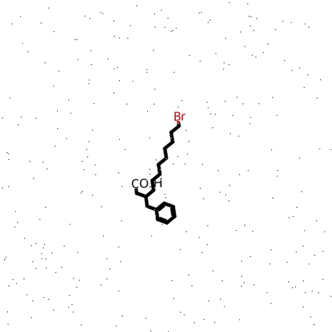 O=C(O)CC(CCCCCCCCCBr)Cc1ccccc1